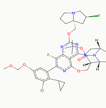 COCOc1cc(Cl)c(C2CC2)c(-c2nc3c4c(nc(OC[C@]56CCCN5C[C@@H](F)C6)nc4c2F)N2C[C@@H]4CC[C@H]([C@@H]2CO3)N4C(=O)OC(C)(C)C)c1